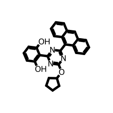 Oc1cccc(O)c1-c1nc(OC2CCCC2)nc(-c2c3ccccc3cc3ccccc23)n1